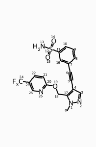 Cn1ncc(C#Cc2cccc(S(N)(=O)=O)c2)c1COc1ccc(C(F)(F)F)cn1